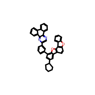 c1cc(-c2cnc3c4ccccc4c4ccccc4c3n2)cc(-c2cc(C3CCCCC3)cc3c2oc2c3ccc3oc4ccccc4c32)c1